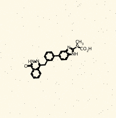 CN(C(=O)O)c1nc2cc(-c3cccc(Cc4n[nH]c(=O)c5ccccc45)c3)ccc2[nH]1